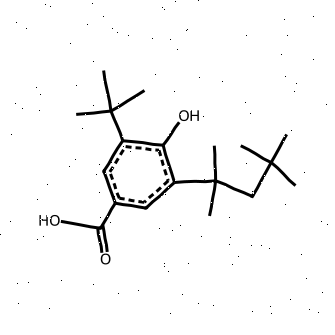 CC(C)(C)CC(C)(C)c1cc(C(=O)O)cc(C(C)(C)C)c1O